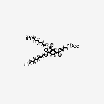 CCCCCCCCCCCCCOC(=O)c1ccc(C(=O)OCCCCCCCC(C)C)c(C(=O)OCCCCCCCC(C)C)c1